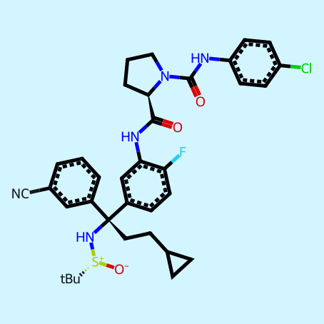 CC(C)(C)[S@@+]([O-])N[C@](CCC1CC1)(c1cccc(C#N)c1)c1ccc(F)c(NC(=O)[C@H]2CCCN2C(=O)Nc2ccc(Cl)cc2)c1